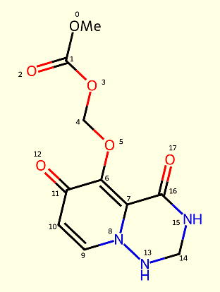 COC(=O)OCOc1c2n(ccc1=O)NCNC2=O